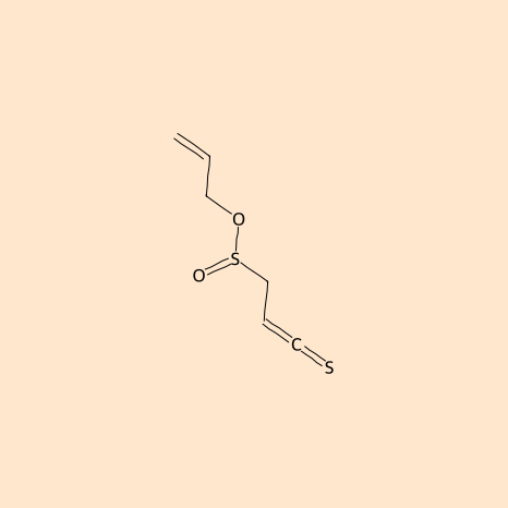 C=CCOS(=O)CC=C=S